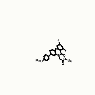 COc1ccc(-c2cccc(N(CC(=O)OC(C)(C)C)C(=O)c3c(F)cc(F)cc3F)c2)cn1